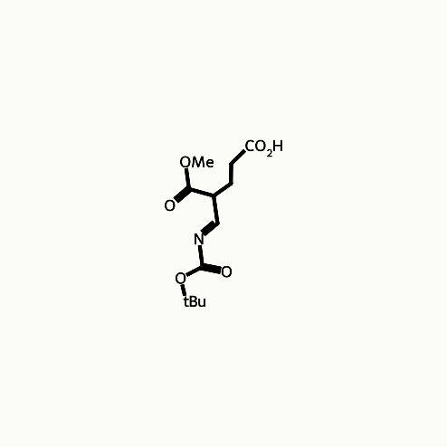 COC(=O)C(/C=N/C(=O)OC(C)(C)C)CCC(=O)O